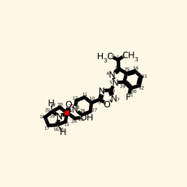 CC(C)c1nn(-c2noc(C3CCN([C@@H]4C[C@H]5CC[C@@H](C4)N5C(=O)CO)CC3)n2)c2c(F)cccc12